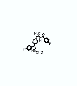 C[C@@H](CN1CCC([C@H](CNC=O)c2ccc(F)cc2)CC1)NC(=O)c1ccc(F)cc1